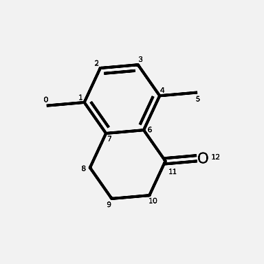 Cc1ccc(C)c2c1CCCC2=O